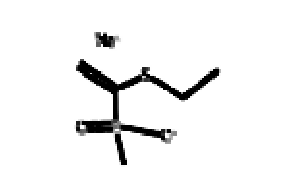 C=C(SCC)P(C)(=O)[O-].[Na+]